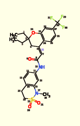 CCC1(CC)C/C(=C\C(=O)Nc2ccc3c(c2)N(C)S(=O)(=O)CC3)c2ccc(C(F)(F)F)cc2O1